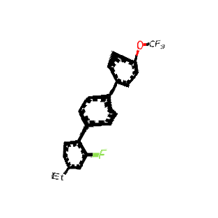 CCc1ccc(-c2ccc(-c3ccc(OC(F)(F)F)cc3)cc2)c(F)c1